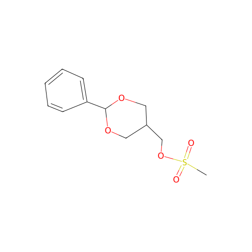 CS(=O)(=O)OCC1COC(c2ccccc2)OC1